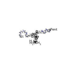 CC/C=C\C/C=C\C/C=C\C/C=C\C/C=C\CCCC(=O)O[C@H](COC(=O)CCC/C=C\C/C=C\C/C=C\C/C=C\CCCCC)COP(=O)([O-])OCC[N+](C)(C)C